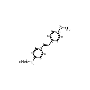 CCCCCCOc1ccc(C=Cc2ccc(OC(F)(F)F)cc2)cc1